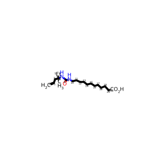 C=CCC(C)(CC)NC(=O)NCCCCCCCCCCCC(=O)O